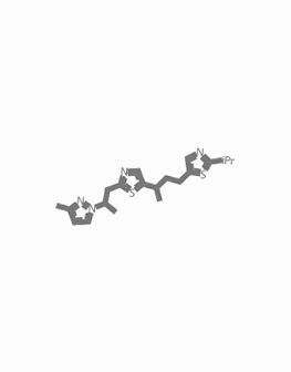 Cc1ccn(C(C)Cc2ncc(C(C)CCc3cnc(C(C)C)s3)s2)n1